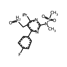 CC(C)c1nc(N(C)S(C)(=O)=O)nc(-c2ccc(F)cc2)c1C[PH2]=O